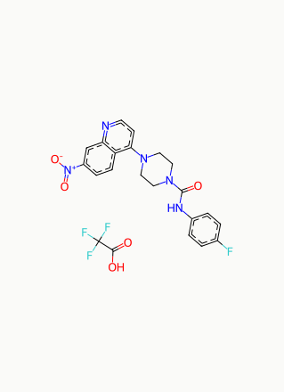 O=C(Nc1ccc(F)cc1)N1CCN(c2ccnc3cc([N+](=O)[O-])ccc23)CC1.O=C(O)C(F)(F)F